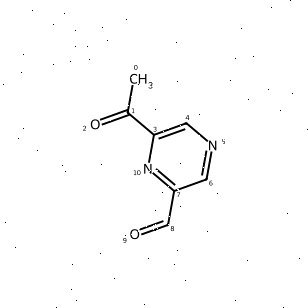 CC(=O)c1cncc(C=O)n1